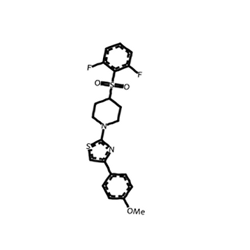 COc1ccc(-c2csc(N3CCC(S(=O)(=O)c4c(F)cccc4F)CC3)n2)cc1